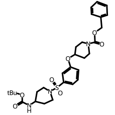 CC(C)(C)OC(=O)NC1CCN(S(=O)(=O)c2cccc(OC3CCN(C(=O)OCc4ccccc4)CC3)c2)CC1